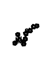 c1ccc(-c2nc(-c3ccccc3)nc(-n3c4ccccc4c4ccc(-c5ccc6oc7cc(-c8ccc9ccccc9c8)ccc7c6c5)cc43)n2)cc1